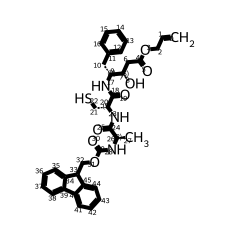 C=CCOC(=O)C[C@H](O)[C@@H](Cc1ccccc1)NC(=O)[C@@H](CS)NC(=O)[C@@H](C)NC(=O)OCC1c2ccccc2-c2ccccc21